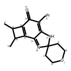 CC(C)C1=C2NC3(CCOCC3)N=C2C2=C(C1=O)C(C)C2C